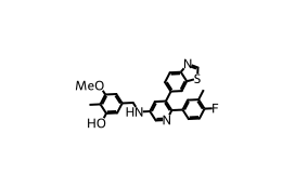 COc1cc(CNc2cnc(-c3ccc(F)c(C)c3)c(-c3ccc4ncsc4c3)c2)cc(O)c1C